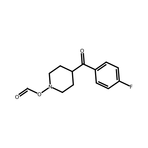 O=[C]ON1CCC(C(=O)c2ccc(F)cc2)CC1